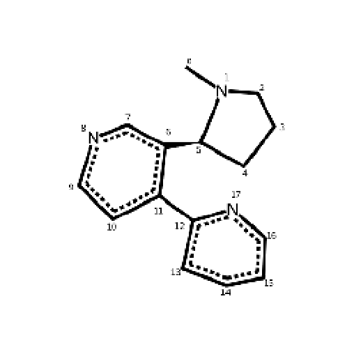 CN1CCC[C@H]1c1cnccc1-c1ccccn1